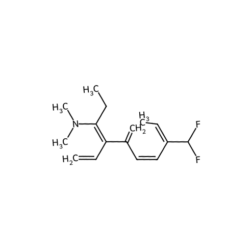 C=C/C(C(=C)/C=C\C(=C/C)C(F)F)=C(/CC)N(C)C